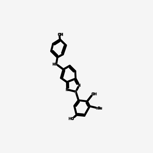 CCCCc1cc(O)cc(-n2nc3ccc(Nc4ccc(O)cc4)cc3n2)c1O